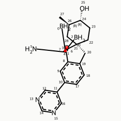 BC1(B)OC(N)=NC12c1cc(-c3cncnc3)ccc1C[C@]21CC[C@@H](O)[C@H](C)C1